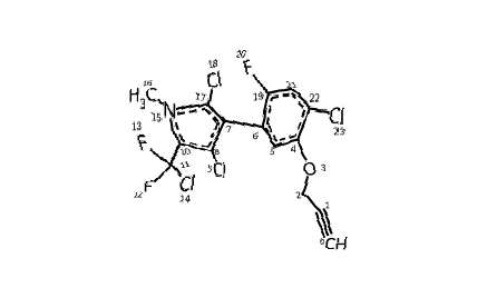 C#CCOc1cc(-c2c(Cl)c(C(F)(F)Cl)n(C)c2Cl)c(F)cc1Cl